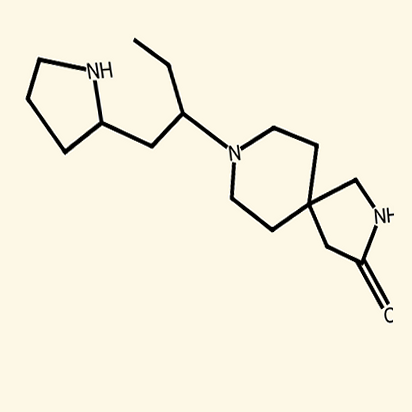 CCC(CC1CCCN1)N1CCC2(CC1)CNC(=O)C2